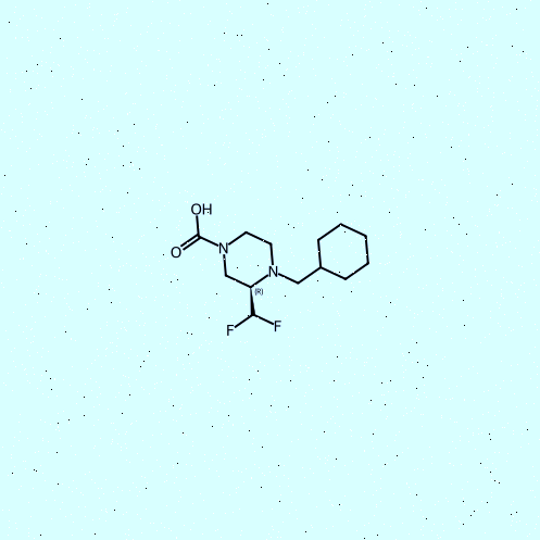 O=C(O)N1CCN(CC2CCCCC2)[C@@H](C(F)F)C1